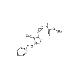 CC(C)(C)OC(=O)N[C@H]1C[C@H]1C1CCN(OCc2ccccc2)C1=C=O